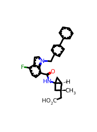 C[C@@]1(CC(=O)O)CC2(NC(=O)c3ccc(F)c4ccn(Cc5ccc(-c6ccccc6)cc5)c34)C[C@H]21